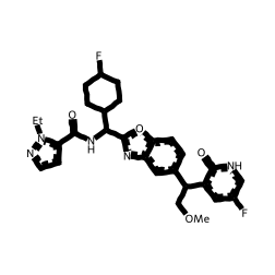 CCn1nccc1C(=O)NC(c1nc2cc(C(COC)c3cc(F)c[nH]c3=O)ccc2o1)C1CCC(F)CC1